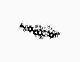 [2H]C([2H])(Br)c1cccc(C(C)OC(=O)N(C(=O)OC(C)(C)C)c2c(C)noc2-c2ccc(-c3ccc(OC(=O)C4CC4)cc3)cc2)c1